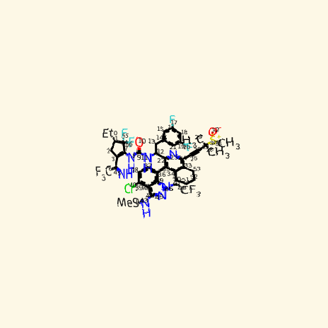 CC[C@@H]1CC(C(=N)C(F)(F)F)=C(NC(=O)NC(Cc2cc(F)cc(F)c2)c2nc(C#CC(C)(C)[S+](C)[O-])c3c(c2-c2ccc(Cl)c4c(NSC)nn(CC(F)(F)F)c24)CCCC3)C1(F)F